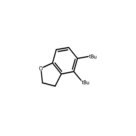 CC(C)(C)c1ccc2c(c1C(C)(C)C)CCO2